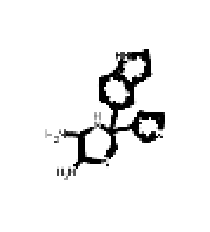 NC1=C(N)NC(c2ccsc2)(c2ccc3[nH]ccc3c2)C=N1